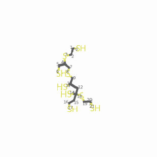 SCCSC(CS)CSCC(S)CC(S)(CCS)SCCS